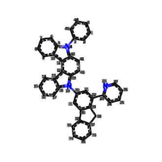 c1ccc(-n2c3ccccc3c3c4c5ccccc5n(-c5cc(-c6ccccn6)c6c(c5)-c5ccccc5C6)c4ccc32)cc1